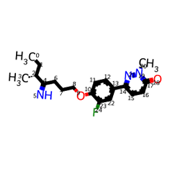 CC[C@@H](C)C(=N)CCCOc1ccc(-c2ccc(=O)n(C)n2)cc1F